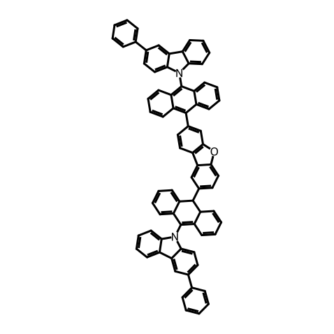 C1=CC2=C(n3c4ccccc4c4cc(-c5ccccc5)ccc43)c3ccccc3C(c3ccc4oc5cc(-c6c7ccccc7c(-n7c8ccccc8c8cc(-c9ccccc9)ccc87)c7ccccc67)ccc5c4c3)C2C=C1